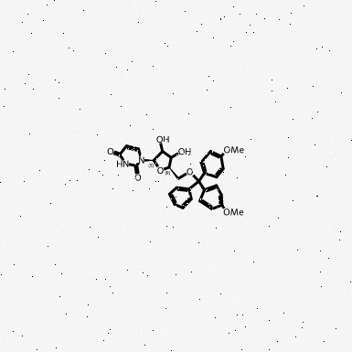 COc1ccc(C(OC[C@H]2O[C@@H](n3ccc(=O)[nH]c3=O)C(O)C2O)(c2ccccc2)c2ccc(OC)cc2)cc1